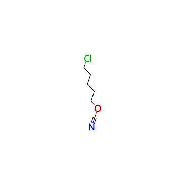 N#COCCCCCCl